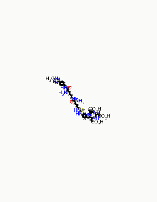 Cc1nnc(-c2ccc(CNC(=O)C(N)CCCCNC(=O)C(N)CCCCNC(=S)Nc3ccc(CC4NC(CC(=O)O)CNC(CC(=O)O)CNC4CC(=O)O)cc3)cc2)nn1